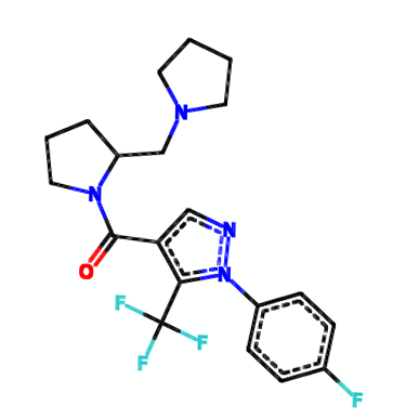 O=C(c1cnn(-c2ccc(F)cc2)c1C(F)(F)F)N1CCCC1CN1CCCC1